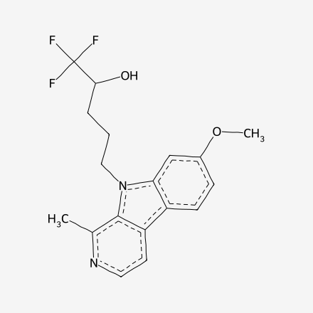 COc1ccc2c3ccnc(C)c3n(CCCC(O)C(F)(F)F)c2c1